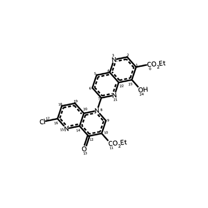 CCOC(=O)c1cnc2ccc(-n3cc(C(=O)OCC)c(=O)c4nc(Cl)ccc43)nc2c1O